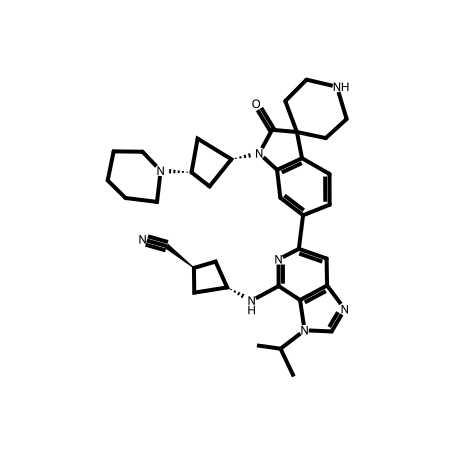 CC(C)n1cnc2cc(-c3ccc4c(c3)N([C@H]3C[C@@H](N5CCCCC5)C3)C(=O)C43CCNCC3)nc(N[C@H]3C[C@H](C#N)C3)c21